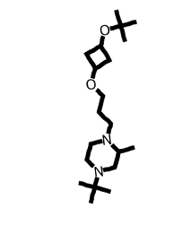 CC1CN(C(C)(C)C)CCN1CCCOC1CC(OC(C)(C)C)C1